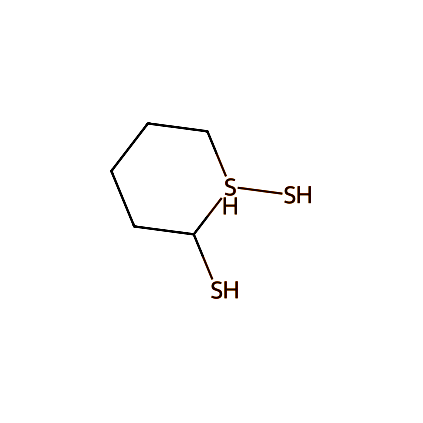 SC1CCCC[SH]1S